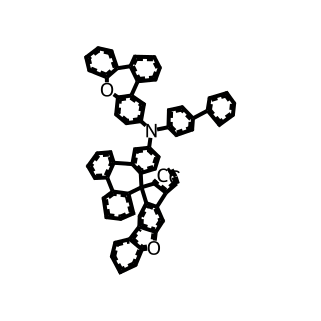 c1ccc(-c2ccc(N(c3ccc4c(c3)-c3ccccc3-c3ccccc3O4)c3ccc4c(c3)-c3ccccc3-c3ccccc3C43c4ccccc4-c4cc5oc6ccccc6c5cc43)cc2)cc1